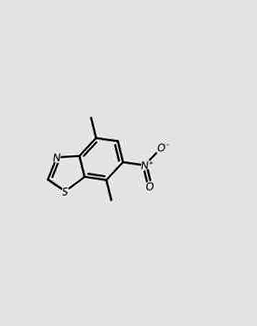 Cc1cc([N+](=O)[O-])c(C)c2scnc12